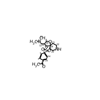 CC(=O)c1ccc(S(=O)(=O)N2C(CN(C)C)COC23CCNCC3)cc1